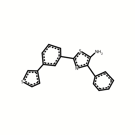 Nc1sc(-c2cccc(-c3ccsc3)c2)nc1-c1ccccc1